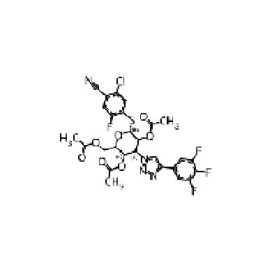 CC(=O)OCC1O[C@H](Sc2cc(Cl)c(C#N)cc2F)C(OC(C)=O)[C@@H](n2cc(-c3cc(F)c(F)c(F)c3)nn2)[C@H]1OC(C)=O